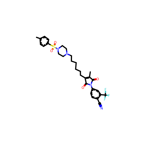 CC1=C(CCCCCCN2CCN(S(=O)(=O)c3ccc(C)cc3)CC2)C(=O)N(c2ccc(C#N)c(C(F)(F)F)c2)C1=O